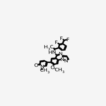 COc1cc2c(cc1-c1ccc(=O)n(C)c1)c(NC(C)c1cccc(C(F)F)c1F)nc1ccnn12